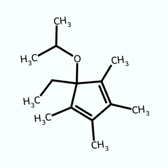 CCC1(OC(C)C)C(C)=C(C)C(C)=C1C